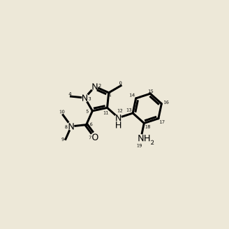 Cc1nn(C)c(C(=O)N(C)C)c1Nc1ccccc1N